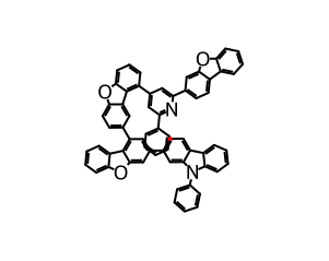 c1ccc(-c2cc(-c3cccc4oc5ccc(-c6cc(-c7ccc8c9ccccc9n(-c9ccccc9)c8c7)cc7oc8ccccc8c67)cc5c34)cc(-c3ccc4c(c3)oc3ccccc34)n2)cc1